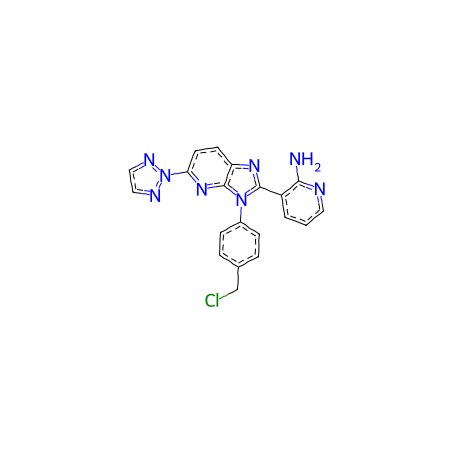 Nc1ncccc1-c1nc2ccc(-n3nccn3)nc2n1-c1ccc(CCl)cc1